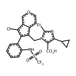 CCc1nc(C2CC2)c(C(=O)O)n1Cc1c2ccocc-2c(Cl)c1-c1ccccc1NS(=O)(=O)C(F)(F)F